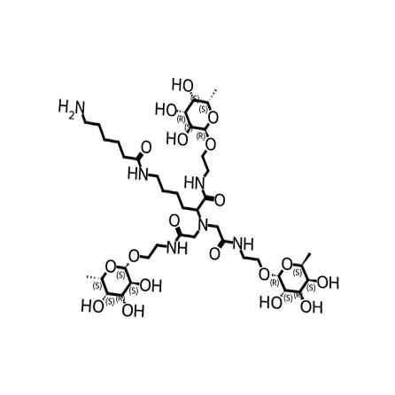 C[C@@H]1O[C@@H](OCCNC(=O)CN(CC(=O)NCCO[C@H]2O[C@@H](C)[C@@H](O)[C@@H](O)[C@@H]2O)C(CCCCNC(=O)CCCCCN)C(=O)NCCO[C@@H]2O[C@@H](C)[C@@H](O)[C@@H](O)[C@@H]2O)[C@@H](O)[C@H](O)[C@@H]1O